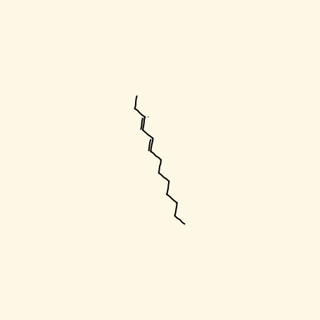 CC/[C]=C/C=CCCCCCCC